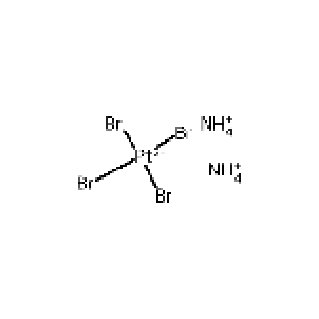 [Br][Pt-2]([Br])([Br])[Br].[NH4+].[NH4+]